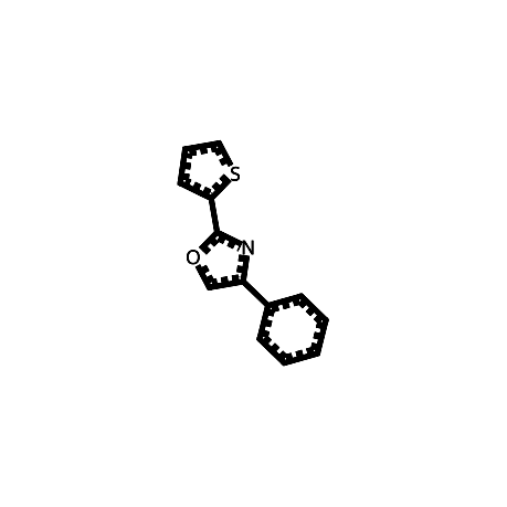 c1ccc(-c2coc(-c3cccs3)n2)cc1